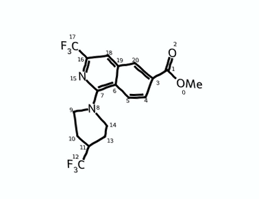 COC(=O)c1ccc2c(N3CCC(C(F)(F)F)CC3)nc(C(F)(F)F)cc2c1